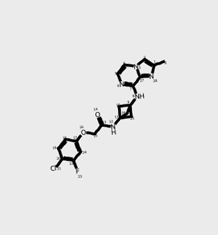 Cc1cn2ccnc(NC34CC(NC(=O)COc5ccc(Cl)c(F)c5)(C3)C4)c2n1